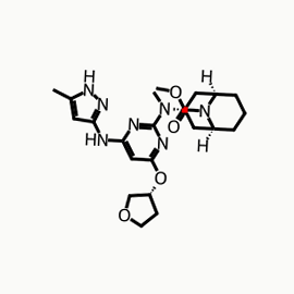 COC(=O)N1[C@@H]2CCC[C@H]1C[C@H](N(C)c1nc(Nc3cc(C)[nH]n3)cc(O[C@@H]3CCOC3)n1)C2